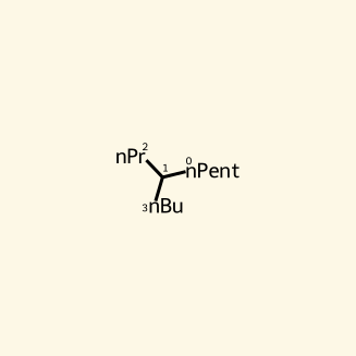 CCCCCC(CCC)CCCC